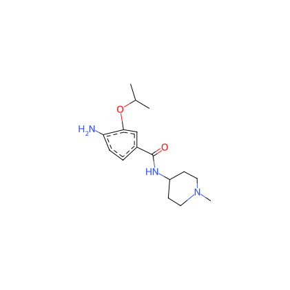 CC(C)Oc1cc(C(=O)NC2CCN(C)CC2)ccc1N